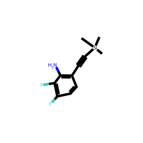 C[Si](C)(C)C#Cc1ccc(F)c(F)c1N